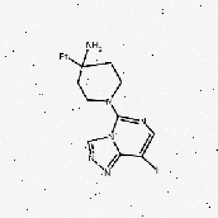 CCC1(N)CCN(c2ncc(I)c3nncn23)CC1